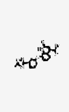 Cc1nc(-c2cccc(Oc3cccc4c(C(Br)Br)cc(=O)[nH]c34)c2)no1